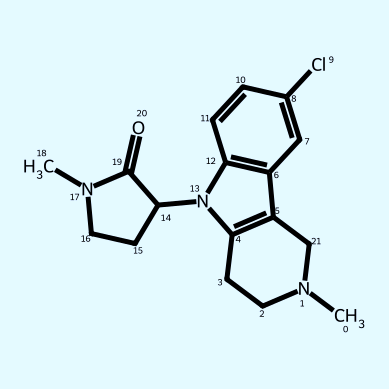 CN1CCc2c(c3cc(Cl)ccc3n2C2CCN(C)C2=O)C1